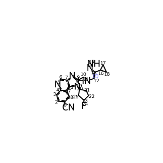 N#Cc1ccc2ncc3nc(CN/C=C(\N=N)C4CC4)n(C4CCC(F)C4)c3c2c1